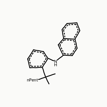 CCCCCC(C)(C)c1ccccc1Nc1ccc2ccccc2c1